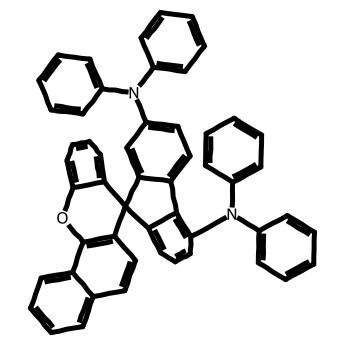 c1ccc(N(c2ccccc2)c2ccc3c(c2)C2(c4ccccc4Oc4c2ccc2ccccc42)c2cccc(N(c4ccccc4)c4ccccc4)c2-3)cc1